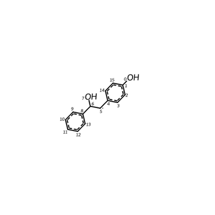 Oc1ccc([CH]C(O)c2ccccc2)cc1